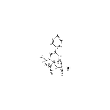 O=CC1C=C(c2ccccc2)C=CC1(CS(=O)(=O)O)[N+](=O)[O-]